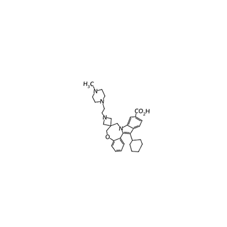 CN1CCN(CCN2CC3(COc4ccccc4-c4c(C5CCCCC5)c5ccc(C(=O)O)cc5n4C3)C2)CC1